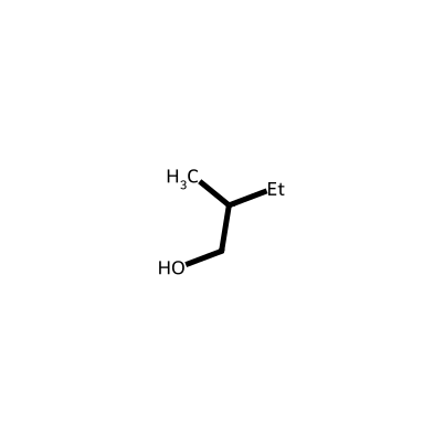 CC[C](C)CO